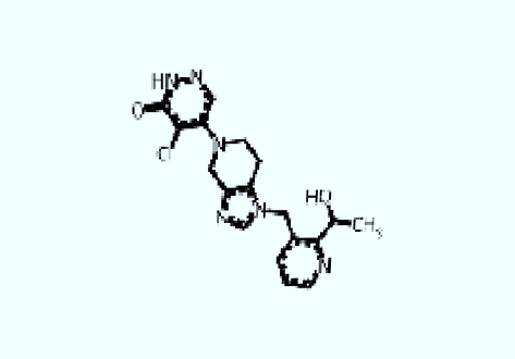 CC(O)c1ncccc1Cn1cnc2c1CCN(c1cn[nH]c(=O)c1Cl)C2